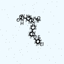 O=c1[nH]c(-c2cc3nc(CN4CCC(c5cccc(OCc6ccc(Cl)cc6F)n5)CC4)n(C[C@@H]4CCO4)c3cn2)no1